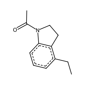 CCc1cccc2c1CCN2C(C)=O